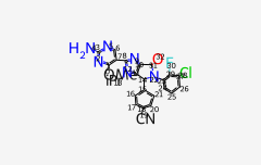 COc1nc(N)ncc1-c1nc2c(n1C(C)C)C(c1ccc(C#N)cc1)N(c1cccc(Cl)c1F)C2=O